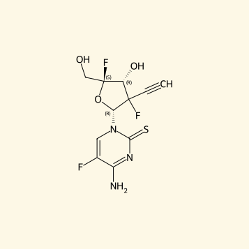 C#CC1(F)[C@@H](O)[C@@](F)(CO)O[C@H]1n1cc(F)c(N)nc1=S